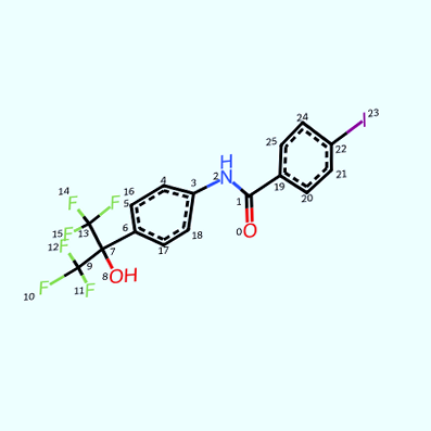 O=C(Nc1ccc(C(O)(C(F)(F)F)C(F)(F)F)cc1)c1ccc(I)cc1